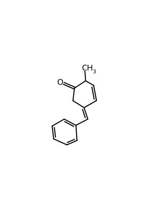 CC1C=CC(=Cc2ccccc2)CC1=O